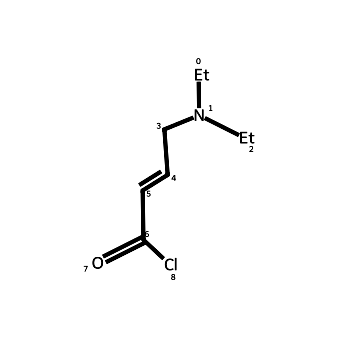 CCN(CC)C/C=C/C(=O)Cl